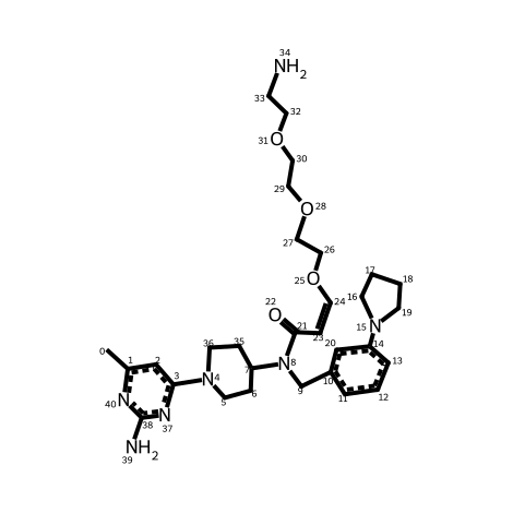 Cc1cc(N2CCC(N(Cc3cccc(N4CCCC4)c3)C(=O)C=COCCOCCOCCN)CC2)nc(N)n1